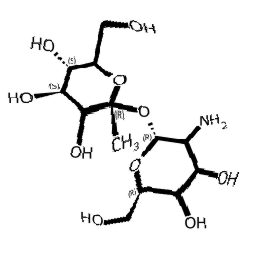 C[C@]1(O[C@H]2O[C@H](CO)C(O)C(O)C2N)OC(CO)[C@@H](O)[C@H](O)C1O